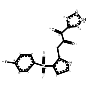 O=C(Cc1[nH]ccc1S(=O)(=O)c1ccc(F)cc1)C(=O)c1nn[nH]n1